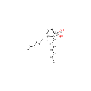 CCCCCCCc1cccc(B(O)O)c1CCCCCCC